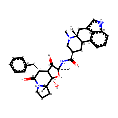 CN1C[C@H](C(=O)N[C@@]2(C)O[C@]3(O)C(C2=O)[C@@H](Cc2ccccc2)C(=O)N2CCC[C@H]23)CC2c3cccc4[nH]cc(c34)C[C@H]21